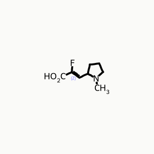 CN1CCCC1/C=C(\F)C(=O)O